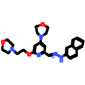 C(=N\Nc1ccc2ccccc2c1)/c1cc(N2CCOCC2)cc(OCCN2CCOCC2)n1